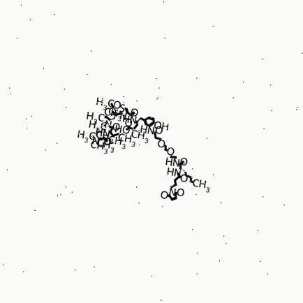 CCCCC[C@H](NC(=O)CCCN1C(=O)C=CC1=O)C(=O)NCCOCCOCCC(=O)Nc1cc(C[C@@H](CC(C)C(=O)O)NC(=O)c2csc([C@@H](C[C@H](C(C)C)N(C)C(=O)[C@@H](NC(=O)C(C)(C)N(C)C)[C@@H](C)CC)OC(C)=O)n2)ccc1O